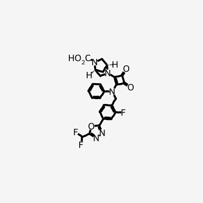 O=C(O)N1C[C@@H]2C[C@H]1CN2c1c(N(Cc2ccc(-c3nnc(C(F)F)o3)cc2F)c2ccccc2)c(=O)c1=O